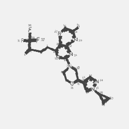 C=C(CCc1nc(N2CCOC(c3cnn(C4CC4)c3)C2)nc2nc(C)cnc12)C(F)(F)F